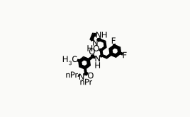 CCCN(CCC)C(=O)c1cc(C)cc(C(=O)NC(Cc2cc(F)cc(F)c2)C(O)CCc2ncc[nH]2)c1